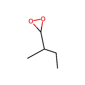 CCC(C)C1OO1